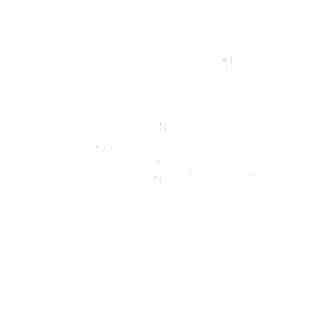 C=CCON1C(=O)N2C[C@H]1[C@@H](O)C[C@H]2CO